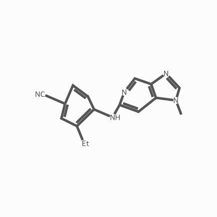 CCc1cc(C#N)ccc1Nc1cc2c(cn1)ncn2C